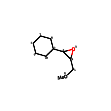 COCC1OC1C1CCCCC1